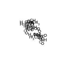 CN[C@@H](C)C(=O)NC(Cc1ccc(Oc2ccc(C(=O)N[C@H]3CC(C(=O)NC4CCCc5ccccc54)N(C(=O)C(NC(=O)[C@H](C)NC)C(C)(C)C)C3)cc2)cc1)C(=O)N1Cc2ccccc2CC1C(=O)NC1CCCc2ccccc21